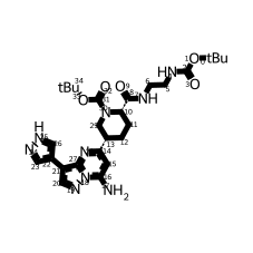 CC(C)(C)OC(=O)NCCNC(=O)[C@@H]1CC[C@H](c2cc(N)n3ncc(-c4cn[nH]c4)c3n2)CN1C(=O)OC(C)(C)C